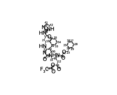 O=C(CCNc1nc(=O)n(CC(CC(=O)OC(=O)C(F)(F)F)NC(=O)OCc2ccccc2)cc1-c1ccccc1)Nc1ncc[nH]1